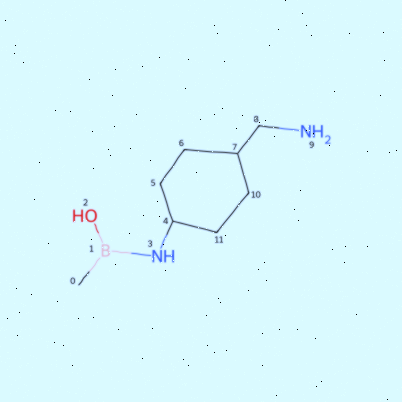 CB(O)NC1CCC(CN)CC1